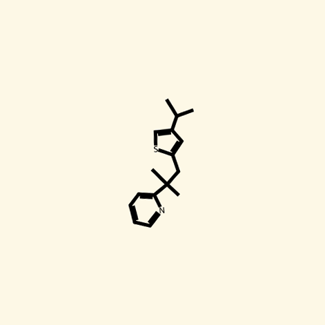 CC(C)c1csc(CC(C)(C)c2ccccn2)c1